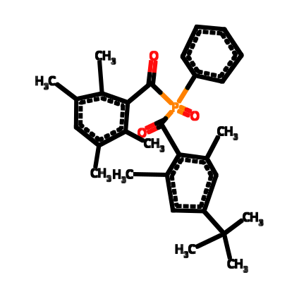 Cc1cc(C)c(C)c(C(=O)P(=O)(C(=O)c2c(C)cc(C(C)(C)C)cc2C)c2ccccc2)c1C